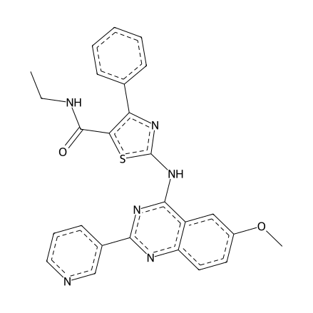 CCNC(=O)c1sc(Nc2nc(-c3cccnc3)nc3ccc(OC)cc23)nc1-c1ccccc1